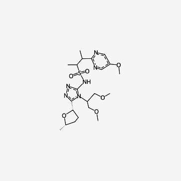 COCC(COC)n1c(NS(=O)(=O)C(C)C(C)c2ncc(OC)cn2)nnc1[C@@H]1CC[C@H](C)O1